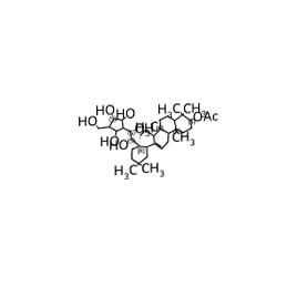 CC(=O)O[C@H]1CC[C@@]2(C)C(CC[C@@]3(C)C4CC[C@@]5([C@H](O)[C@@H](O)C6C(O)C(CO)[C@H](O)C6O)CCC(C)(C)CC5C4=CCC32)C1(C)C